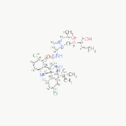 C=CC(CO)COC(C)(C)Cn1ccc(NC(=O)[C@@H]2N[C@@H](CC(C)(C)C)[C@](C#N)(c3ccc(Cl)cc3F)[C@H]2c2cccc(Cl)c2F)n1